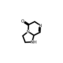 O=C1CN=CC2NCCN12